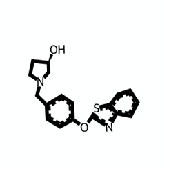 O[C@@H]1CCN(Cc2ccc(Oc3nc4ccccc4s3)cc2)C1